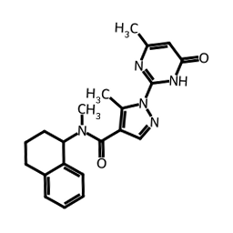 Cc1cc(=O)[nH]c(-n2ncc(C(=O)N(C)C3CCCc4ccccc43)c2C)n1